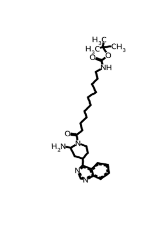 CC(C)(C)OC(=O)NCCCCCCCCCCC(=O)N1CCC(c2ncnc3ccccc23)CC1N